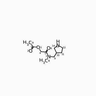 CC(=O)OCC(=O)N(C)CC1CCNC1